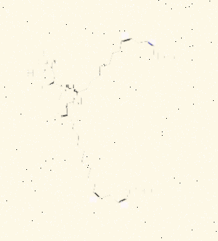 CCCCC/C=C\C/C=C\CCCCCCCCOC(=O)[C@H](CNC(=O)C[N+](C)(C)C)NC(=O)CCCCCCC/C=C\C/C=C\CCCCC